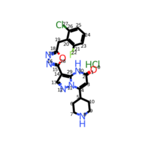 Cl.O=c1cc(C2CCNCC2)n2ncc(-c3nnc(Cc4c(F)cccc4Cl)o3)c2[nH]1